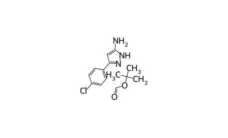 CC(C)(C)OC=O.Nc1cc(-c2ccc(Cl)cc2)n[nH]1